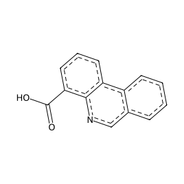 O=C(O)c1cccc2c1ncc1ccccc12